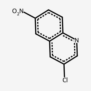 O=[N+]([O-])c1ccc2ncc(Cl)cc2c1